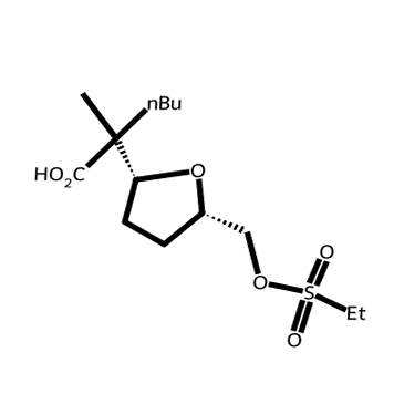 CCCCC(C)(C(=O)O)[C@H]1CC[C@@H](COS(=O)(=O)CC)O1